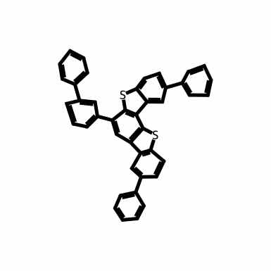 c1ccc(-c2cccc(-c3cc4c5cc(-c6ccccc6)ccc5sc4c4c3sc3ccc(-c5ccccc5)cc34)c2)cc1